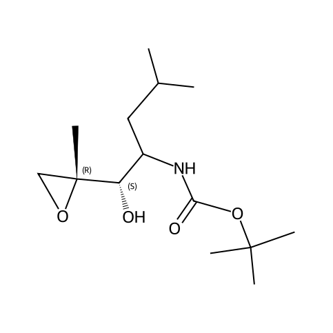 CC(C)CC(NC(=O)OC(C)(C)C)[C@H](O)[C@@]1(C)CO1